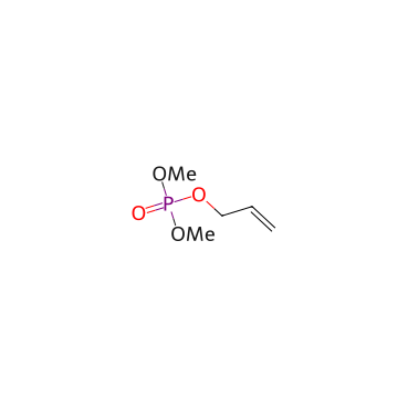 C=CCOP(=O)(OC)OC